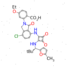 CCOc1ccc(C(=O)O)c(N2Cc3c(Cl)ccc(Nc4c(N[C@@H](c5ccc(C)o5)C(C)(C)C)c(=O)c4=O)c3C2=O)c1